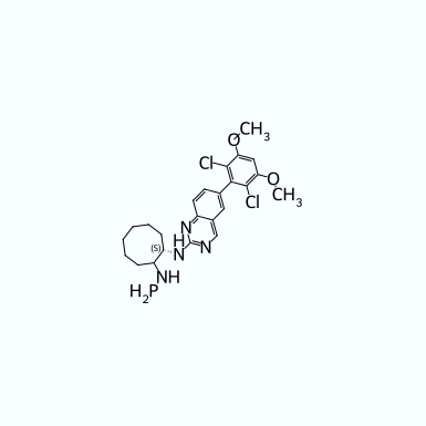 COc1cc(OC)c(Cl)c(-c2ccc3nc(N[C@H]4CCCCCCC4NP)ncc3c2)c1Cl